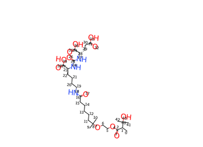 CC(C(=O)OCCOC(C)(C)CCCCCC(=O)NCCCC[C@H](NC(=O)N[C@@H](CCC(=O)O)C(=O)O)C(=O)O)C(C)(C)O